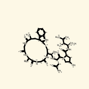 CCC(C)C1NC(=O)CNC(=O)C(N)Cc2c([nH]c3ccccc23)SCC([C@@H](O)N[C@@H](CC(N)=O)C(=O)N2CC(O)CC2C(=O)N[C@H](C(=O)O)[C@@H](C)C(C)OC(C)=O)NC(=O)CNC1=O